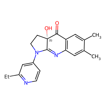 CCc1cc(N2CC[C@@]3(O)C(=O)c4cc(C)c(C)cc4N=C23)ccn1